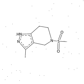 Cc1n[nH]c2c1CN(S(C)(=O)=O)CC2